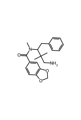 CN(C(=O)c1ccc2c(c1)OCO2)C(Cc1ccccc1)C(C)(C)CN